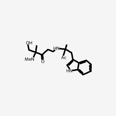 CNC(C)(CO)C(=O)CCNC(C)(Cc1c[nH]c2ccccc12)C(C)=O